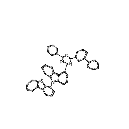 c1ccc(-c2cccc(-c3nc(-c4ccccc4)nc(-c4cccc5c4c4ccccc4n5-c4cccc5c4sc4ccccc45)n3)c2)cc1